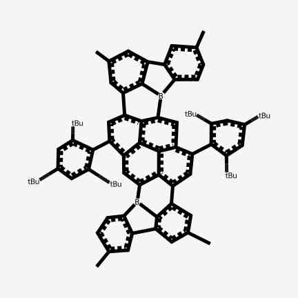 Cc1ccc2c(c1)-c1cc(C)cc3c1B2c1cc2c(-c4c(C(C)(C)C)cc(C(C)(C)C)cc4C(C)(C)C)cc4c5c(cc6c(-c7c(C(C)(C)C)cc(C(C)(C)C)cc7C(C)(C)C)cc-3c1c6c25)B1c2ccc(C)cc2-c2cc(C)cc-4c21